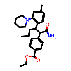 CCCC(c1ccc(C)cc1N1CCCCC1)C(C(N)=O)c1ccc(C(=O)OCC)cc1